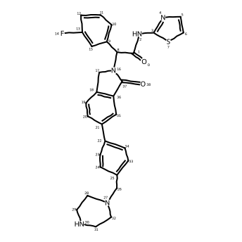 O=C(Nc1nccs1)C(c1cccc(F)c1)N1Cc2ccc(-c3ccc(CN4CCNCC4)cc3)cc2C1=O